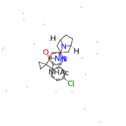 CC(=O)Nc1ccc(N2[C@@H]3CC[C@H]2C[C@@H](NC(=O)C2(c4ccc(Cl)cc4)CC2)C3)nc1